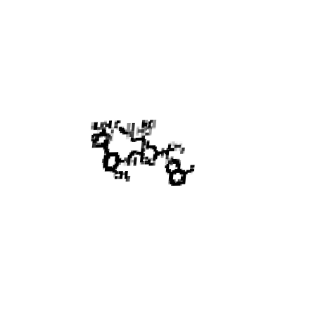 CCNCCN(CC(=O)N(C)N1Cc2cccc(F)c2C1)C(=O)CNc1cc(-c2noc(C)n2)ccc1C.Cl.Cl